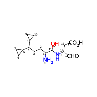 NC(CCC(C1CC1)C1CC1)C(O)N[C@@H](C=O)CC(=O)O